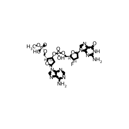 COP(=O)(O)OC[C@H]1O[C@@H](n2cnc3c(N)ncnc32)C[C@@H]1OP(=O)(O)OC[C@H]1O[C@@H](n2cnc3c(=O)[nH]c(N)nc32)C[C@@H]1F